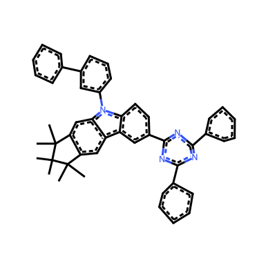 CC1(C)c2cc3c4cc(-c5nc(-c6ccccc6)nc(-c6ccccc6)n5)ccc4n(-c4cccc(-c5ccccc5)c4)c3cc2C(C)(C)C1(C)C